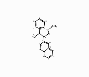 CNC[C@@H](c1ccc2ccccc2c1)C(O)c1ccccn1